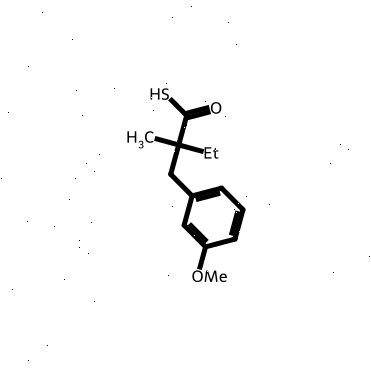 CCC(C)(Cc1cccc(OC)c1)C(=O)S